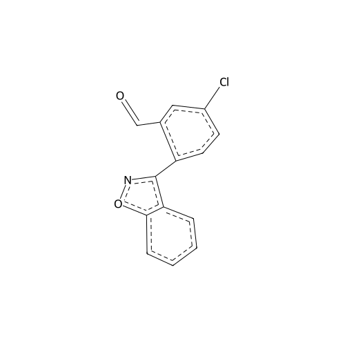 O=Cc1cc(Cl)ccc1-c1noc2ccccc12